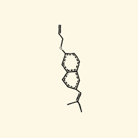 C=CCOc1ccc2cc(C=C(C)C)ccc2c1